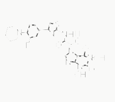 CC(C(=O)Nc1nc(-c2ccc(N3CCCCC3)c(F)c2)cs1)n1cnc2c1c(=O)n(C)c(=O)n2C